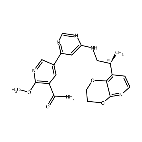 COc1ncc(-c2cc(NC[C@@H](C)c3ccnc4c3OCCO4)ncn2)cc1C(N)=O